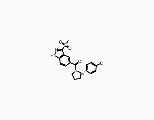 CS(=O)(=O)c1n[nH]c2ccc(C(=O)N3CCC[C@H]3c3ccc(Cl)cc3)cc12